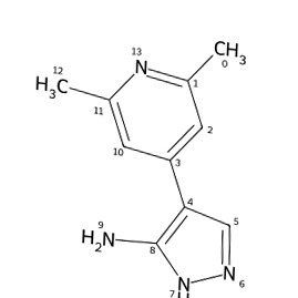 Cc1cc(-c2cn[nH]c2N)cc(C)n1